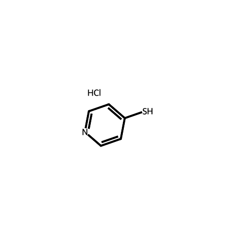 Cl.Sc1ccncc1